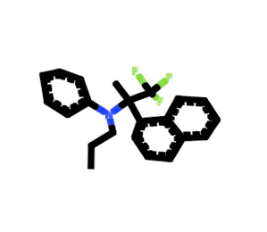 CCCN(c1ccccc1)C(C)(c1cccc2ccccc12)C(F)(F)F